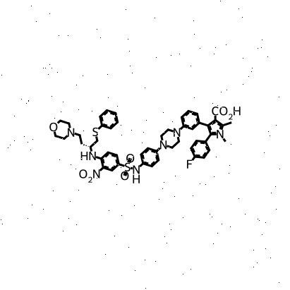 Cc1c(C(=O)O)c(-c2cccc(N3CCN(c4ccc(NS(=O)(=O)c5ccc(N[C@H](CCN6CCOCC6)CSc6ccccc6)c([N+](=O)[O-])c5)cc4)CC3)c2)c(-c2ccc(F)cc2)n1C